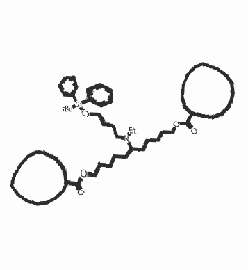 CCN(CCCCO[Si](c1ccccc1)(c1ccccc1)C(C)(C)C)C(CCCCCOC(=O)C1CCCCCCCCCCCCCC1)CCCCCOC(=O)C1CCCCCCCCCCCCCC1